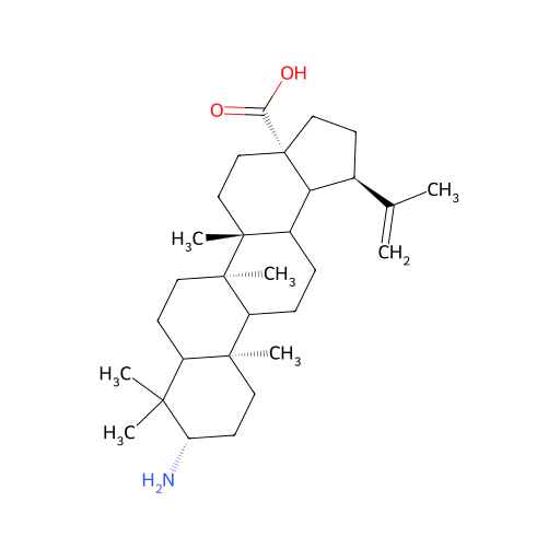 C=C(C)[C@@H]1CC[C@]2(C(=O)O)CC[C@]3(C)C(CCC4[C@@]5(C)CC[C@H](N)C(C)(C)C5CC[C@]43C)C12